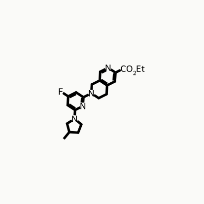 CCOC(=O)c1cc2c(cn1)CN(c1cc(F)cc(N3CCC(C)C3)n1)CC2